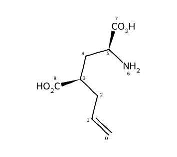 C=CC[C@H](C[C@H](N)C(=O)O)C(=O)O